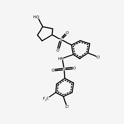 O=S(=O)(Nc1cc(Cl)ccc1S(=O)(=O)C1CCC(O)C1)c1ccc(Cl)c(C(F)(F)F)c1